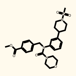 COC(=O)c1ccc(CN(C(=O)N2CCOCC2)c2cccc(C3CCN(S(C)(=O)=O)CC3)c2)cc1